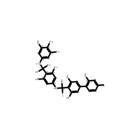 Cc1ccc(-c2cc(F)c(C(F)(F)Oc3cc(F)c(C(F)(F)Oc4cc(F)c(F)c(F)c4)c(F)c3)c(F)c2)c(F)c1